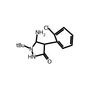 CC(C)(C)N1NC(=O)C(c2ccccc2Cl)C1N